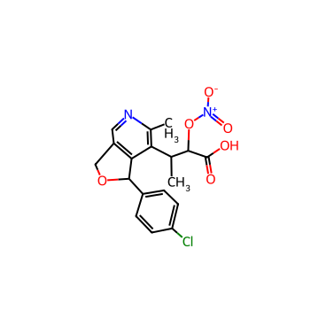 Cc1ncc2c(c1C(C)C(O[N+](=O)[O-])C(=O)O)C(c1ccc(Cl)cc1)OC2